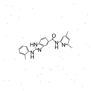 Cc1cc(C)nc(NC(=O)c2ccc3[nH]c(Nc4ccccc4C)nc3c2)c1